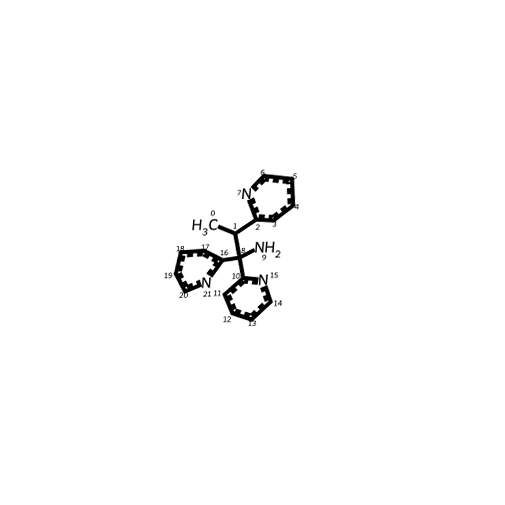 CC(c1ccccn1)C(N)(c1ccccn1)c1ccccn1